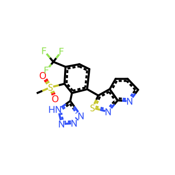 CS(=O)(=O)c1c(C(F)(F)F)ccc(-c2snc3ncccc23)c1-c1nnn[nH]1